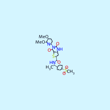 COc1ccc(-n2c(=O)[nH]c3cc(C(=O)NC(C)c4ccc(S(C)(=O)=O)cc4)sc3c2=O)nc1OC